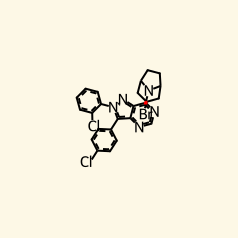 Clc1ccc(-c2c3ncnc(N4C5CCC4CC(Br)C5)c3nn2-c2ccccc2Cl)cc1